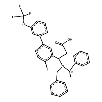 C[C@H](c1ccccc1)N(Cc1ccccc1)C(CC(=O)O)c1cc(-c2cccc(OC(F)(F)F)c2)ccc1F